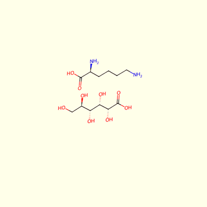 NCCCC[C@H](N)C(=O)O.O=C(O)[C@H](O)[C@@H](O)[C@H](O)[C@H](O)CO